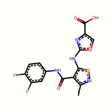 Cc1nsc(Nc2nc(C(=O)O)co2)c1C(=O)Nc1ccc(F)c(F)c1